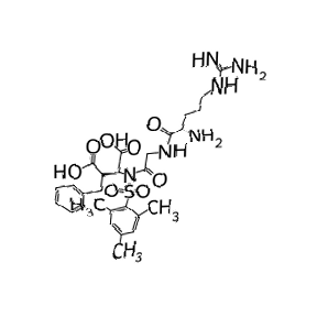 Cc1cc(C)c(S(=O)(=O)N(C(=O)CNC(=O)[C@@H](N)CCCNC(=N)N)[C@H](C(=O)O)C(Cc2ccccc2)C(=O)O)c(C)c1